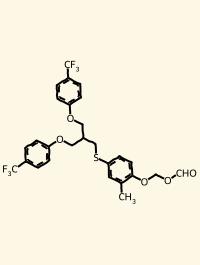 Cc1cc(SCC(COc2ccc(C(F)(F)F)cc2)COc2ccc(C(F)(F)F)cc2)ccc1OCOC=O